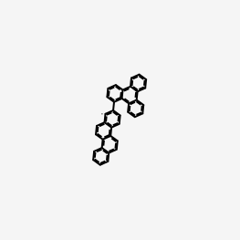 [c]1c(-c2cccc3c4ccccc4c4ccccc4c23)ccc2c1ccc1c3ccccc3ccc21